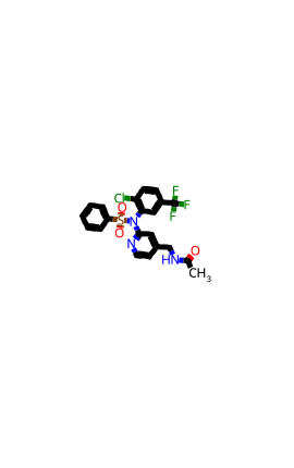 CC(=O)NCc1ccnc(N(c2cc(C(F)(F)F)ccc2Cl)S(=O)(=O)c2ccccc2)c1